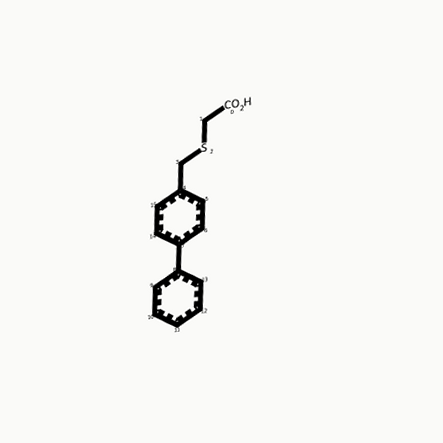 O=C(O)CSCc1ccc(-c2ccccc2)cc1